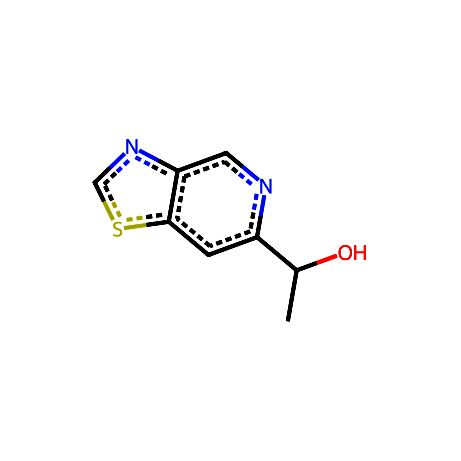 CC(O)c1cc2scnc2cn1